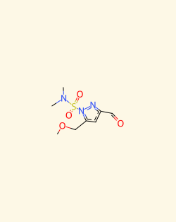 COCc1cc(C=O)nn1S(=O)(=O)N(C)C